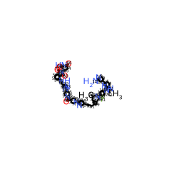 Cc1nc2ccc(-c3ccnc(N)c3)nc2n1-c1ccc(N2CC(C)C3C4C(C2)CC34CC#Cc2ccc(N3CCC(C(=O)N4CCC(n5cc(CNc6cccc7c6C(=O)N(C6CCC(=O)NC6=O)C7=O)cn5)CC4)CC3)nc2)c(F)c1